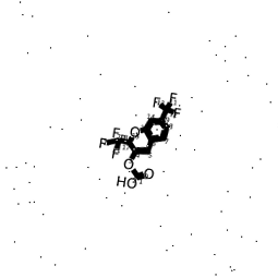 O=C(O)OC1=Cc2ccc(C(F)(F)F)cc2OC1C(F)(F)F